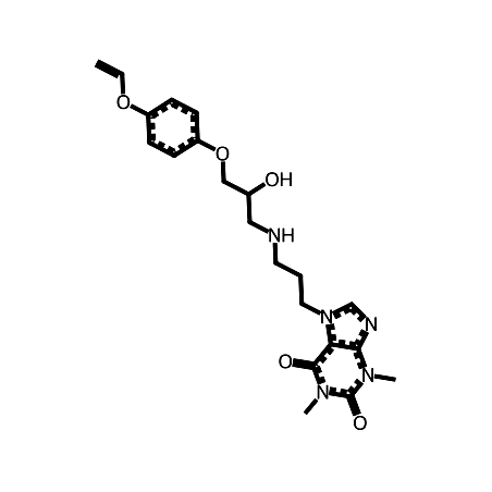 C=COc1ccc(OCC(O)CNCCCn2cnc3c2c(=O)n(C)c(=O)n3C)cc1